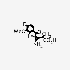 C=C(C(=O)O)C1[C@@H](N)[C@]1(F)C(=O)c1ccc(F)c(OC)c1F